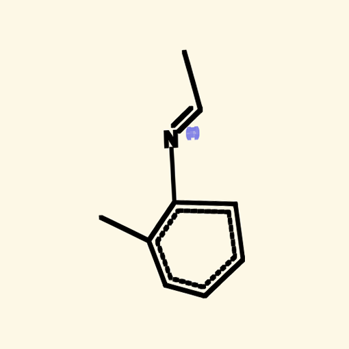 C/C=N/c1ccccc1C